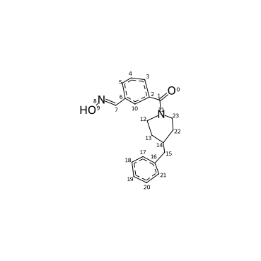 O=C(c1cccc(/C=N/O)c1)N1CCC(Cc2ccccc2)CC1